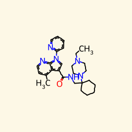 CCN1CCN(C2(CNC(=O)c3cn(-c4ccccn4)c4nccc(C)c34)CCCCC2)CC1